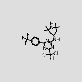 CC1(C)CC(Nc2nc(-c3ccc(C(F)(F)F)cc3)nc(C(Cl)(Cl)Cl)n2)CC(C)(C)N1